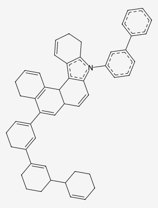 C1=CC(C2C=C(C3=CC(C4=CC5C=Cc6c(c7c(n6-c6cccc(-c8ccccc8)c6)CCC=C7)C5C5=C4CCC=C5)=CCC3)CCC2)CCC1